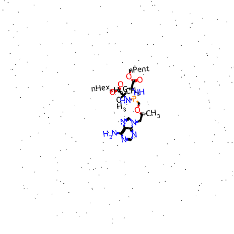 CCCCCCOC(=O)C(C)(C)NP(CO[C@H](C)Cn1cnc2c(N)ncnc21)N[C@H](C)C(=O)OCCCCC